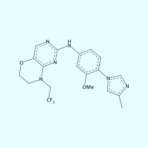 COc1cc(Nc2ncc3c(n2)N(CC(F)(F)F)CCO3)ccc1-n1cnc(C)c1